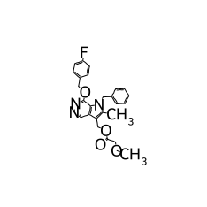 COCC(=O)OCc1c(C)n(Cc2ccccc2)c2c(OCc3ccc(F)cc3)nncc12